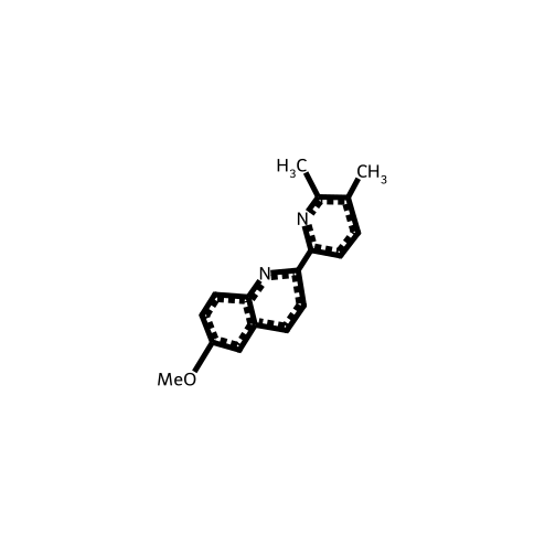 COc1ccc2nc(-c3ccc(C)c(C)n3)ccc2c1